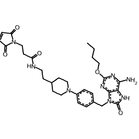 CCCCOc1nc(N)c2[nH]c(=O)n(Cc3ccc(N4CCC(CCNC(=O)CCN5C(=O)C=CC5=O)CC4)cc3)c2n1